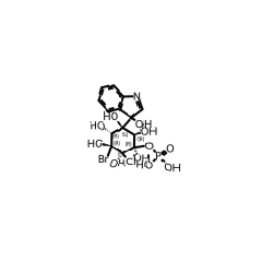 O=P(O)(O)O[C@]1(O)[C@H](O)[C@@](O)(C2(O)C=Nc3ccccc32)[C@@H](O)[C@@](O)(Br)[C@]1(O)Cl